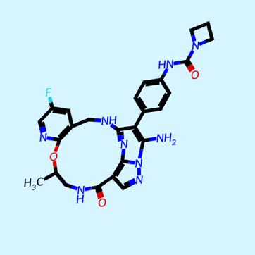 CC1CNC(=O)c2cnn3c(N)c(-c4ccc(NC(=O)N5CCC5)cc4)c(nc23)NCc2cc(F)cnc2O1